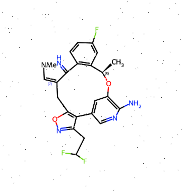 CN/C=C1/Cc2onc(CC(F)F)c2-c2cnc(N)c(c2)O[C@H](C)c2cc(F)ccc2C1=N